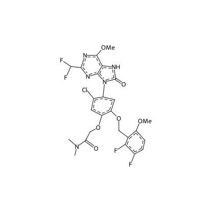 COc1ccc(F)c(F)c1COc1cc(-n2c(=O)[nH]c3c(OC)nc(C(F)F)nc32)c(Cl)cc1OCC(=O)N(C)C